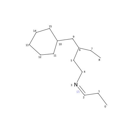 CC/C=N\CCC(CC)CC1CCCCC1